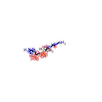 CC(C)(COP(=O)(O)OP(=O)(O)OCC1OC(n2cnc3c(N)ncnc32)C(O)C1OP(=O)(O)O)C(O)C(=O)NCCC(=O)NCCN